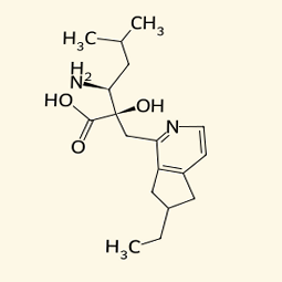 CCC1Cc2ccnc(C[C@](O)(C(=O)O)[C@@H](N)CC(C)C)c2C1